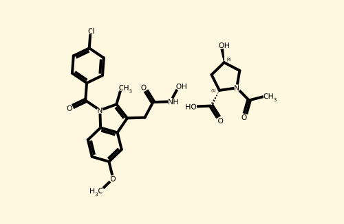 CC(=O)N1C[C@H](O)C[C@H]1C(=O)O.COc1ccc2c(c1)c(CC(=O)NO)c(C)n2C(=O)c1ccc(Cl)cc1